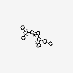 c1ccc(-c2ccc(-c3cc(-c4cccc5c4oc4cc(-c6nc(-c7ccccc7)nc(-c7ccccc7)n6)ccc45)cc4sc5ccccc5c34)cc2)cc1